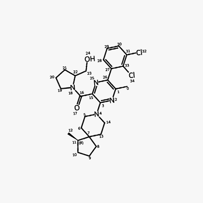 Cc1nc(N2CCC3(CCC[C@H]3C)CC2)c(C(=O)N2CCCC2CO)nc1-c1cccc(Cl)c1Cl